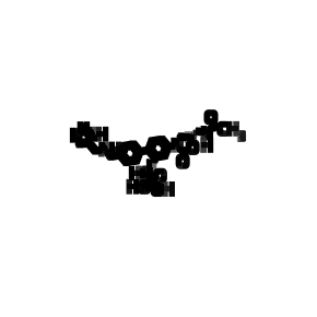 CC(=O)NC[C@H]1CN(c2ccc(-c3ccc(CNCc4cnn[nH]4)cc3)c(F)c2)C(=O)O1.O=P(O)(O)O